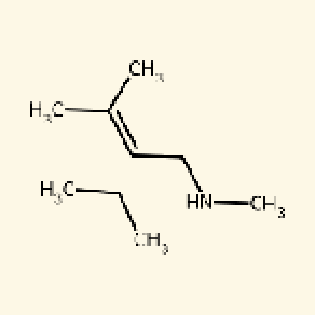 CCC.CNCC=C(C)C